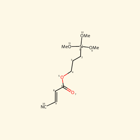 CO[Si](CCCOC(=O)C=CC#N)(OC)OC